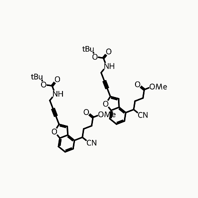 COC(=O)CCC(C#N)c1cccc2oc(C#CCNC(=O)OC(C)(C)C)cc12.COC(=O)CCC(C#N)c1cccc2oc(C#CCNC(=O)OC(C)(C)C)cc12